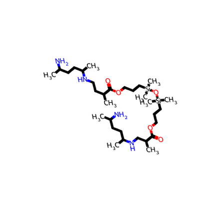 CC(N)CCC(C)NCCC(C)C(=O)OCCC[Si](C)(C)O[Si](C)(C)CCCOC(=O)C(C)CNC(C)CCC(C)N